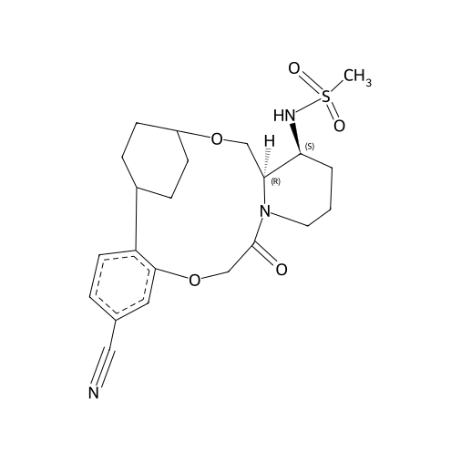 CS(=O)(=O)N[C@H]1CCCN2C(=O)COc3cc(C#N)ccc3C3CCC(CC3)OC[C@@H]12